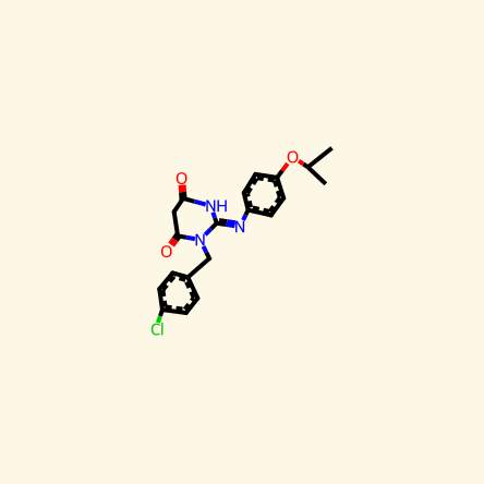 CC(C)Oc1ccc(/N=C2\NC(=O)CC(=O)N2Cc2ccc(Cl)cc2)cc1